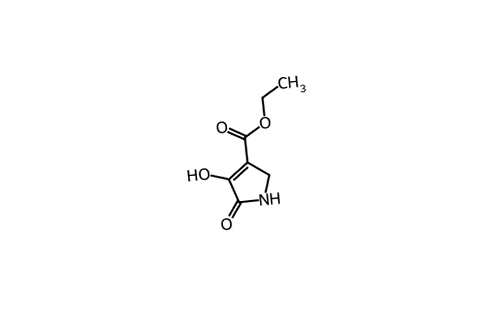 CCOC(=O)C1=C(O)C(=O)NC1